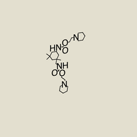 CC1(C)CC(NC(=O)OCCN2CCCCC2)CC(C)(CNC(=O)OCCN2CCCCC2)C1